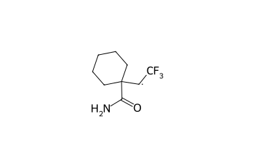 NC(=O)C1([CH]C(F)(F)F)CCCCC1